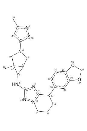 Cc1cc(N2CC3[C@H](Nc4nc5n(n4)CCCC5c4ccc5c(c4)OCO5)C3(C)C2)sn1